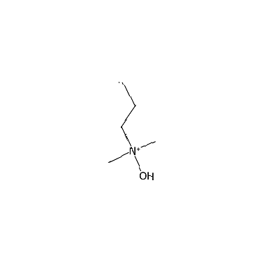 [CH2]CC[N+](C)(C)O